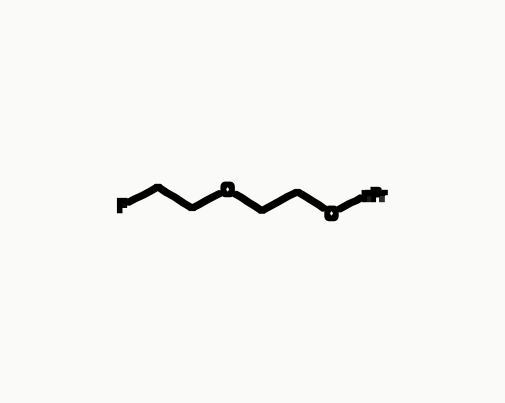 CCCOCCOCCF